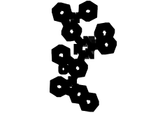 c1ccc(-n2c3ccccc3c3ccc(C4N=C(c5ccc(-n6c7ccccc7c7cc8ccccc8cc76)c6oc7ccccc7c56)N=C(c5cccc6ccccc56)N4)cc32)cc1